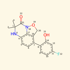 CC1(C)Nc2ccc(-c3ccc(F)cc3O)c3c2N(OC3)C1=O